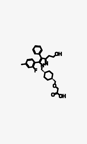 Cc1ccc(-c2c(-c3ccccc3)c(CCO)nn2C[C@H]2CC[C@@H](COCC(=O)O)CC2)c(F)c1